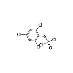 O=P(Cl)(Cl)Sc1c(Cl)cc(Cl)cc1Cl